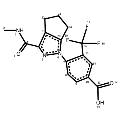 CNC(=O)c1nn(-c2ccc(C(=O)O)cc2C(F)(F)F)c2c1CCC2